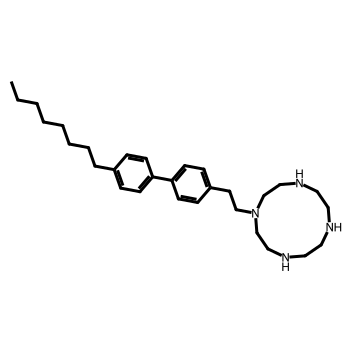 CCCCCCCCc1ccc(-c2ccc(CCN3CCNCCNCCNCC3)cc2)cc1